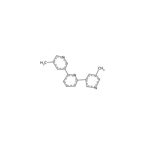 Cc1cncc(-c2cccc(-c3cncc(C)c3)n2)c1